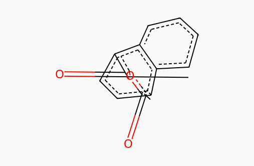 O=c1oc(=O)c2ccc1c1ccccc21